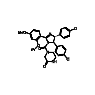 COc1ccc(C2=N[C@H](c3ccc(Cl)cc3)C(c3ccc(Cl)cc3)N2C(=O)N2CCNC(=O)C2)c(OC(C)C)c1